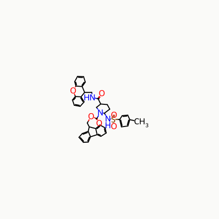 Cc1ccc(S(=O)(=O)NC2CCC(C(=O)NCC3c4ccccc4Oc4ccccc43)CN2C(=O)OCC2c3ccccc3-c3ccccc32)cc1